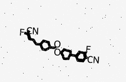 N#C/C(F)=C\CCC1CCC(C(=O)OC2CCC(c3ccc(C#N)c(F)c3)CC2)CC1